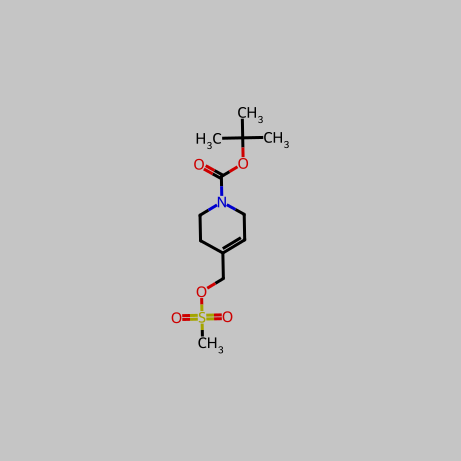 CC(C)(C)OC(=O)N1CC=C(COS(C)(=O)=O)CC1